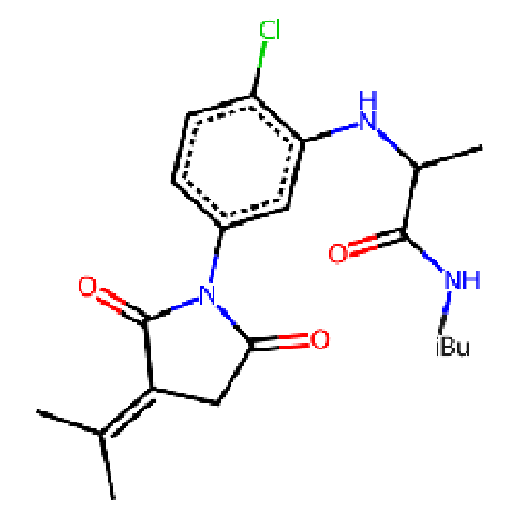 CCC(C)NC(=O)C(C)Nc1cc(N2C(=O)CC(=C(C)C)C2=O)ccc1Cl